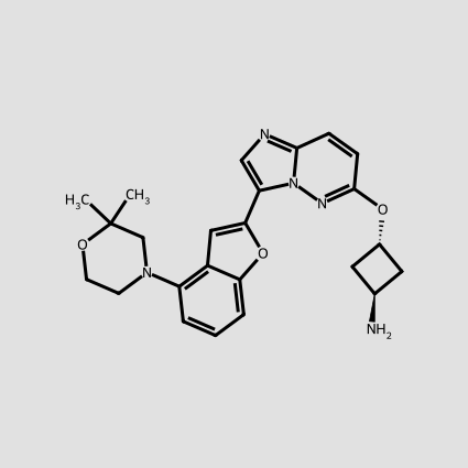 CC1(C)CN(c2cccc3oc(-c4cnc5ccc(O[C@H]6C[C@H](N)C6)nn45)cc23)CCO1